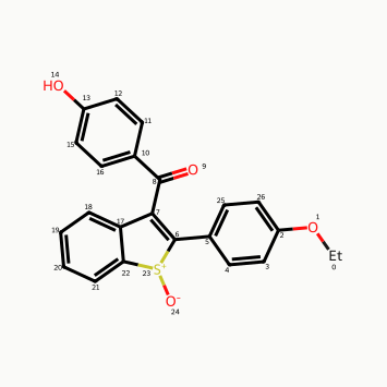 CCOc1ccc(-c2c(C(=O)c3ccc(O)cc3)c3ccccc3[s+]2[O-])cc1